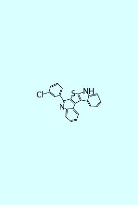 Clc1cccc(-c2nc3ccccc3c3c2sc2[nH]c4ccccc4c23)c1